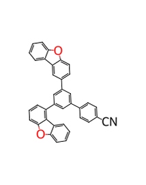 N#Cc1ccc(-c2cc(-c3ccc4oc5ccccc5c4c3)cc(-c3cccc4oc5ccccc5c34)c2)cc1